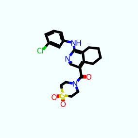 O=C(c1cnc(Nc2cccc(Cl)c2)c2c1CCCC2)N1CCS(=O)(=O)CC1